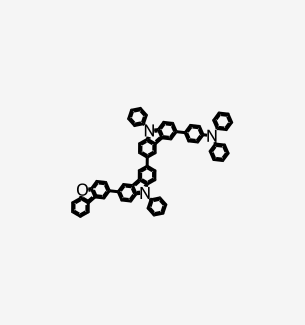 c1ccc(N(c2ccccc2)c2ccc(-c3ccc4c(c3)c3cc(-c5ccc6c(c5)c5cc(-c7ccc8oc9ccccc9c8c7)ccc5n6-c5ccccc5)ccc3n4-c3ccccc3)cc2)cc1